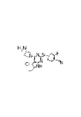 CCc1[nH]c2nc(Sc3ccc(C#N)c(F)c3)nc(N3CCC(N)C3)c2c1Cl